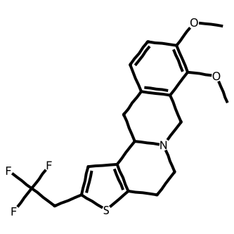 COc1ccc2c(c1OC)CN1CCc3sc(CC(F)(F)F)cc3C1C2